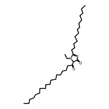 CCCCCCCCCCCCCCCCCC(=O)C1C(=O)N=C(CCCCCCCCCCCCCC)N1CC